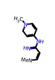 CN/C=C\C(=N)NC1=CCN(C)C=C1